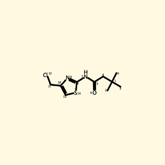 CC(C)(C)CC(=O)Nc1nc(CCl)cs1